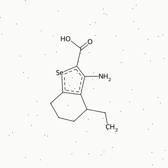 CCC1CCCc2[se]c(C(=O)O)c(N)c21